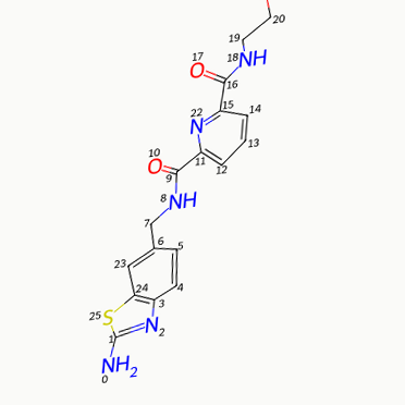 Nc1nc2ccc(CNC(=O)c3cccc(C(=O)NCCO)n3)cc2s1